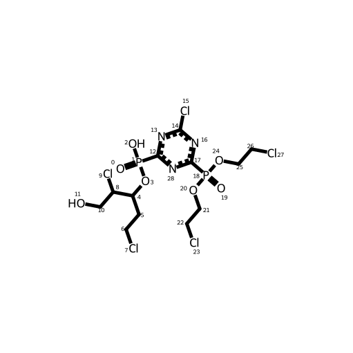 O=P(O)(OC(CCCl)C(Cl)CO)c1nc(Cl)nc(P(=O)(OCCCl)OCCCl)n1